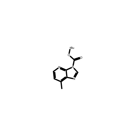 Cc1ccnc2c1ncn2C(=O)OC(C)(C)C